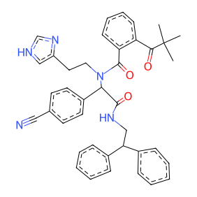 CC(C)(C)C(=O)c1ccccc1C(=O)N(CCc1c[nH]cn1)C(C(=O)NCC(c1ccccc1)c1ccccc1)c1ccc(C#N)cc1